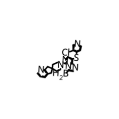 Bc1cnc2c(Sc3ccncc3Cl)cnc(N3CCC4(CC3)Cc3cccnc3C4)n12